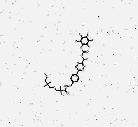 COCC(C)(C)COCC(C)(C)C(=O)NCc1ccc(-c2nnc(C(C)OC(=O)Oc3c(F)c(F)c(F)c(F)c3F)nn2)cc1